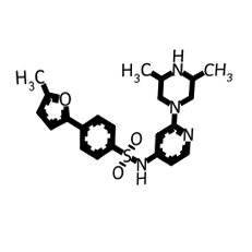 Cc1ccc(-c2ccc(S(=O)(=O)Nc3ccnc(N4CC(C)NC(C)C4)c3)cc2)o1